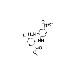 COC(=O)c1ccc(Cl)cc1Nc1ccc([N+](=O)[O-])cc1N